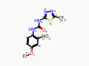 CCOc1ccc(NC(=O)Nc2nnc(C(F)(F)F)s2)c([N+](=O)[O-])c1